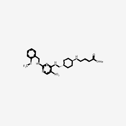 COC(=O)CCCN[C@H]1CC[C@H](CNc2nc(NCc3ccccc3OC(F)(F)F)ncc2[N+](=O)[O-])CC1